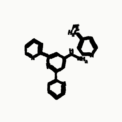 Cc1ccncc1.NNc1cc(-c2ccccn2)nc(-c2ccccn2)c1.[Pt]